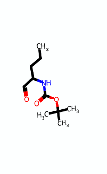 CCCC(C=O)NC(=O)OC(C)(C)C